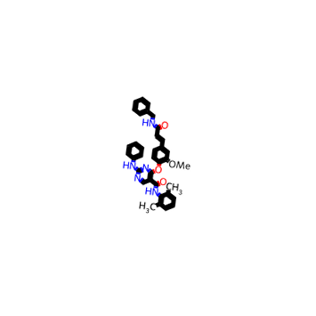 COc1cc(C=CC(=O)NCc2ccccc2)ccc1Oc1nc(Nc2ccccc2)ncc1C(=O)Nc1c(C)cccc1C